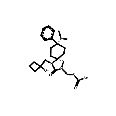 CC(=O)C(=O)SCN1C[C@]2(CC[C@@](c3ccccc3)(N(C)C)CC2)N(CC2(O)CCC2)C1=O